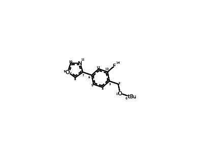 CC(C)(C)OCc1ccc(-c2cocn2)cc1F